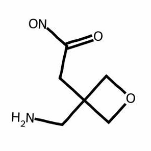 NCC1(CC(=O)N=O)COC1